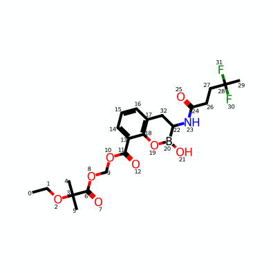 CCOC(C)(C)C(=O)OCOC(=O)c1cccc2c1OB(O)C(NC(=O)CCC(C)(F)F)C2